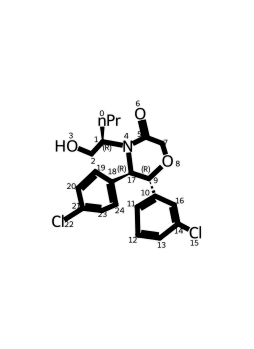 CCC[C@H](CO)N1C(=O)CO[C@H](c2cccc(Cl)c2)[C@H]1c1ccc(Cl)cc1